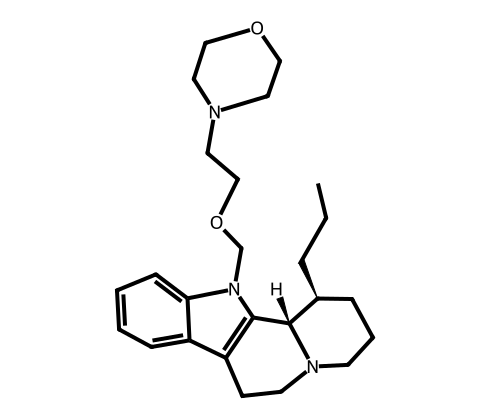 CCC[C@H]1CCCN2CCc3c(n(COCCN4CCOCC4)c4ccccc34)[C@H]12